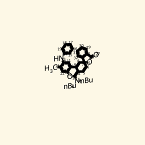 CCCCN(CCCC)C1=C2C=CC3(C=C2c2cc(Nc4ccccc4)c(C)cc2O1)OC(=O)c1ccccc13